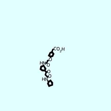 O=C(O)Cc1ccc(OCC(=O)Nc2cccc(C(=O)CC(=O)Nc3ccccc3)c2)cc1